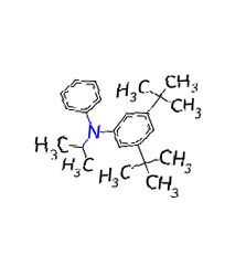 CC(C)N(c1ccccc1)c1cc(C(C)(C)C)cc(C(C)(C)C)c1